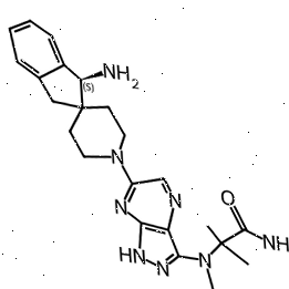 CN(c1n[nH]c2nc(N3CCC4(CC3)Cc3ccccc3[C@H]4N)cnc12)C(C)(C)C(N)=O